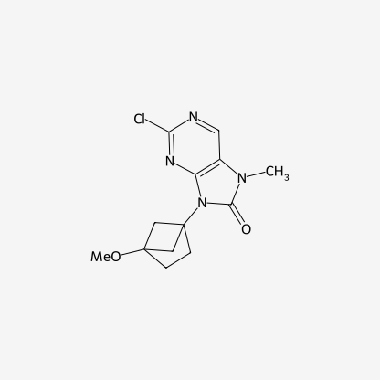 COC12CCC(n3c(=O)n(C)c4cnc(Cl)nc43)(C1)C2